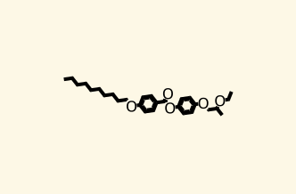 CCCCCCCCCCOc1ccc(C(=O)Oc2ccc(OCC(C)OCC)cc2)cc1